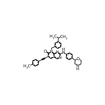 Cc1ccc(C#Cc2cc3cnc(Nc4ccc(C5CNCCO5)cc4)nc3n(Cc3cccc(C(C)C)c3)c2=O)cc1